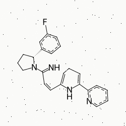 N=C(/C=C\C1=CCC=C(c2ccccn2)N1)N1CCC[C@@H]1c1cccc(F)c1